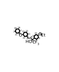 CCOc1ccc(C(O)(CCc2cccc(Oc3ccccc3)c2)C(F)(F)F)cc1